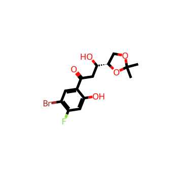 CC1(C)OC[C@@H](C(O)CC(=O)c2cc(Br)c(F)cc2O)O1